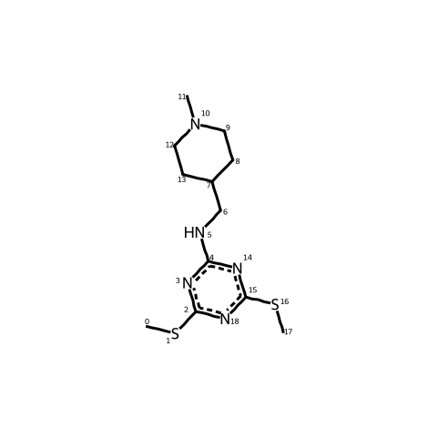 CSc1nc(NCC2CCN(C)CC2)nc(SC)n1